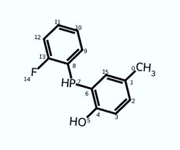 Cc1ccc(O)c(Pc2ccccc2F)c1